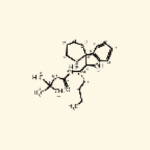 CCCC[C@H](NC(=O)OC(C)(C)C)C(O)C1(c2ccccc2)SCCCS1